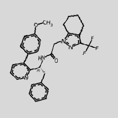 COc1ccc(-c2cccnc2[C@@H](Cc2ccccc2)NC(=O)Cn2nc(C(F)(F)F)c3c2CCCC3)cc1